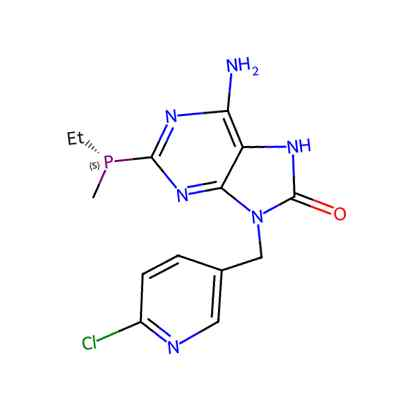 CC[P@@](C)c1nc(N)c2[nH]c(=O)n(Cc3ccc(Cl)nc3)c2n1